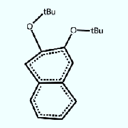 CC(C)(C)Oc1cc2ccccc2cc1OC(C)(C)C